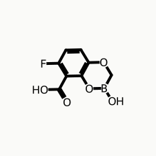 O=C(O)c1c(F)ccc2c1OB(O)CO2